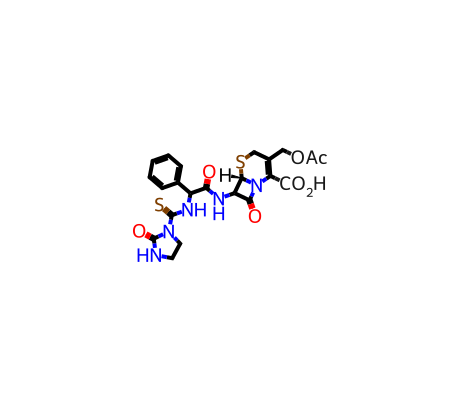 CC(=O)OCC1=C(C(=O)O)N2C(=O)C(NC(=O)C(NC(=S)N3CCNC3=O)c3ccccc3)[C@@H]2SC1